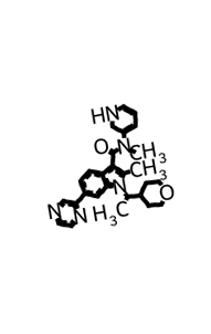 Cc1c(C(=O)N(C)C2=CC=CNC2)c2ccc(-c3cnccn3)cc2n1C(C)C1CCOCC1